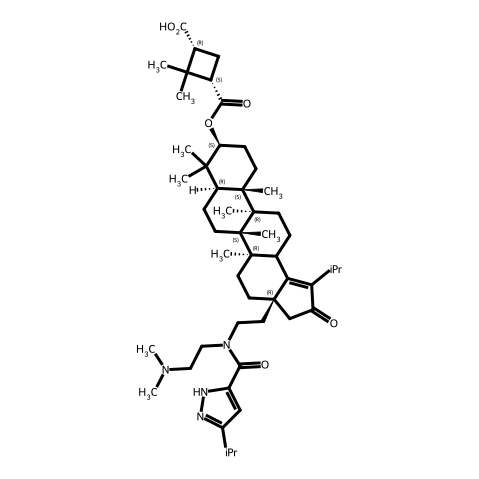 CC(C)C1=C2C3CC[C@@]4(C)[C@@](C)(CC[C@H]5C(C)(C)[C@@H](OC(=O)[C@H]6C[C@@H](C(=O)O)C6(C)C)CC[C@@]54C)[C@]3(C)CC[C@@]2(CCN(CCN(C)C)C(=O)c2cc(C(C)C)n[nH]2)CC1=O